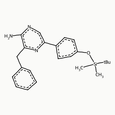 CC(C)(C)[Si](C)(C)Oc1ccc(-c2cnc(N)c(Cc3ccccc3)n2)cc1